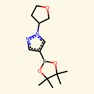 CC1(C)OB(c2cnn(C3CCOC3)c2)OC1(C)C